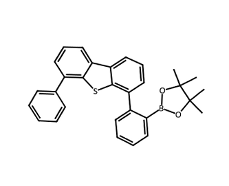 CC1(C)OB(c2ccccc2-c2cccc3c2sc2c(-c4ccccc4)cccc23)OC1(C)C